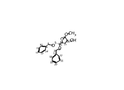 CO[C@@H]1O[C@H]([C@@H](COCc2ccccc2)OCc2ccccc2)C[C@H]1O